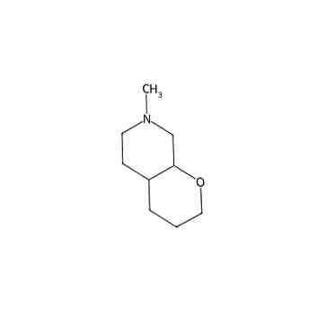 CN1CCC2CCCOC2C1